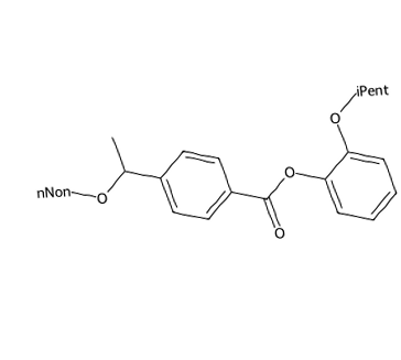 CCCCCCCCCOC(C)c1ccc(C(=O)Oc2ccccc2OC(C)CCC)cc1